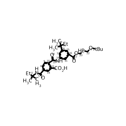 CCC(C)(C)NC(=O)c1ccc(C(=O)Nc2cc(C(=O)OCPCOC(C)(C)C)cc(C(C)(C)CC)c2)c(C(=O)O)c1